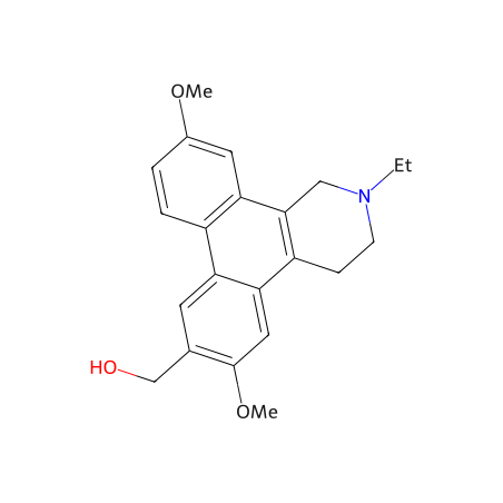 CCN1CCc2c(c3cc(OC)ccc3c3cc(CO)c(OC)cc23)C1